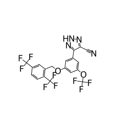 N#Cc1n[nH]nc1-c1cc(OCc2cc(C(F)(F)F)ccc2C(F)(F)F)cc(OC(F)(F)F)c1